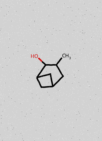 CC1CC2CC(C2)C1O